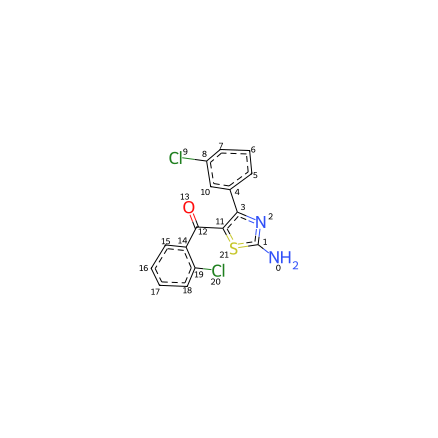 Nc1nc(-c2cccc(Cl)c2)c(C(=O)c2ccccc2Cl)s1